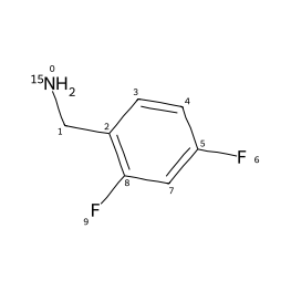 [15NH2]Cc1ccc(F)cc1F